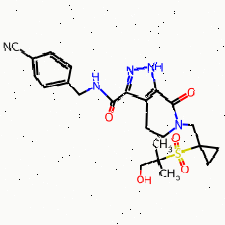 CC(C)(CO)S(=O)(=O)C1(CN2CCc3c(C(=O)NCc4ccc(C#N)cc4)n[nH]c3C2=O)CC1